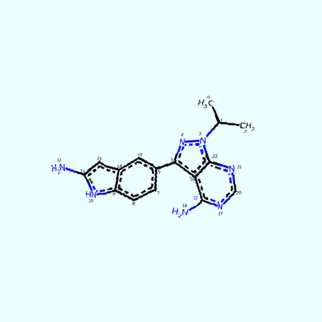 CC(C)n1nc(-c2ccc3[nH]c(N)cc3c2)c2c(N)ncnc21